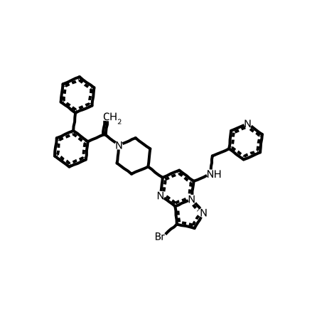 C=C(c1ccccc1-c1ccccc1)N1CCC(c2cc(NCc3cccnc3)n3ncc(Br)c3n2)CC1